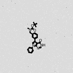 CN(Cc1cccc(-c2cn(-c3ccccc3)c3nc[nH]c(=O)c23)c1)C(=O)OC(C)(C)C